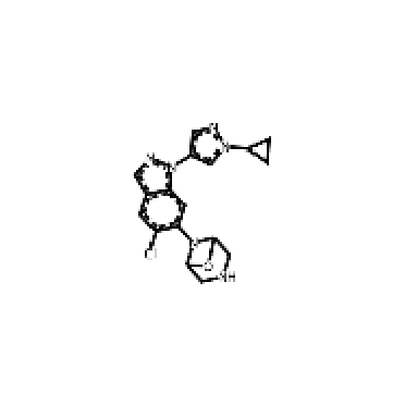 Clc1cc2cnn(-c3cnn(C4CC4)c3)c2cc1N1C2CNCC1O2